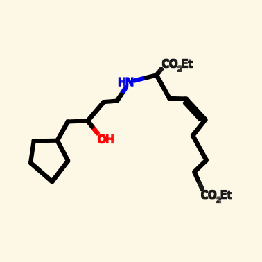 CCOC(=O)CCC/C=C\CC(NCCC(O)CC1CCCC1)C(=O)OCC